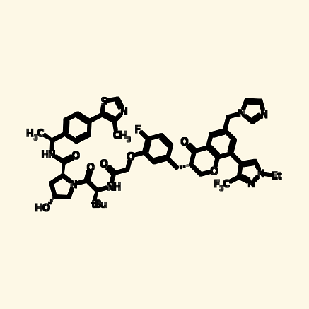 CCn1cc(-c2cc(Cn3ccnc3)cc3c2OC[C@H](Cc2ccc(F)c(OCC(=O)N[C@H](C(=O)N4C[C@H](O)C[C@H]4C(=O)N[C@@H](C)c4ccc(-c5scnc5C)cc4)C(C)(C)C)c2)C3=O)c(C(F)(F)F)n1